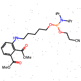 COC(=O)c1cccc(NCCCCCOP(OCCC#N)N(C(C)C)C(C)C)c1C(=O)OC